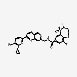 CC(C)c1ccc(-c2ccc3cnc(CNC(=O)c4cc(F)c5c(c4)S(=O)(=O)[C@@H](F)CCO5)cc3n2)nc1C1CC1